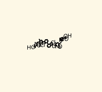 COc1nc(O[C@H]2CCc3c(-c4cccc(-c5cc(C)c(CN6CC(C)(O)C6)c(OC)n5)c4Cl)cccc32)c(Cl)cc1CN1CC2(C(=O)O)CCC1CC2